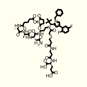 C[C@H](NC(=O)CCCC(=O)ON1C(=O)CCC1=O)C(=O)N[C@H](C)C(=O)N[C@@H](CC(N)=O)C(=O)NCCCN(C(=O)CSCCC(=O)NCCC(=O)N[C@@H](CCC(=O)O)C(=O)O)[C@@H](c1cc(-c2cc(F)ccc2F)cn1Cc1ccccc1)C(C)(C)C